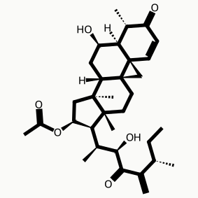 C=C(C(=O)[C@H](O)[C@@H](C)[C@H]1[C@@H](OC(C)=O)C[C@@]2(C)[C@@H]3C[C@@H](O)[C@H]4[C@H](C)C(=O)C=C[C@@]45C[C@@]35CC[C@]12C)[C@@H](C)CC